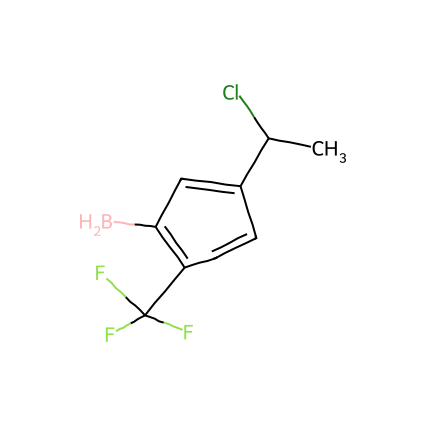 Bc1cc(C(C)Cl)ccc1C(F)(F)F